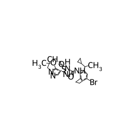 CC(c1cc(Br)c2c(c1NC(=O)NS(=N)(=O)c1cnn3c1OC(C)(C)C3)CC2)C1CC1